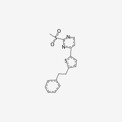 CS(=O)(=O)c1nccc(-c2ccc(CCc3ccccc3)s2)n1